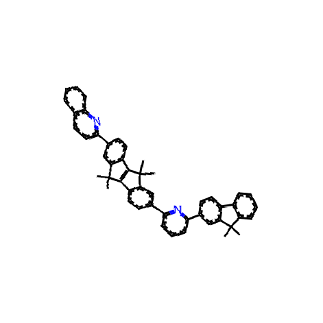 CC1(C)C2=C(c3ccc(-c4cccc(-c5ccc6c(c5)C(C)(C)c5ccccc5-6)n4)cc31)C(C)(C)c1cc(-c3ccc4ccccc4n3)ccc12